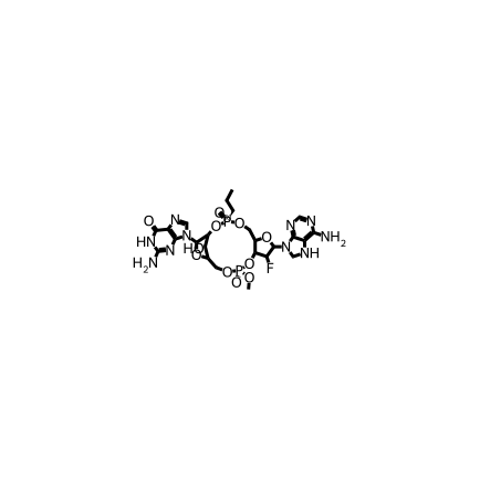 CCC[P@@]1(=O)OCC2OC(N3CNc4c(N)ncnc43)C(F)C2OP(=O)(OC)OCC2OC(n3cnc4c(=O)[nH]c(N)nc43)C(O1)C2O